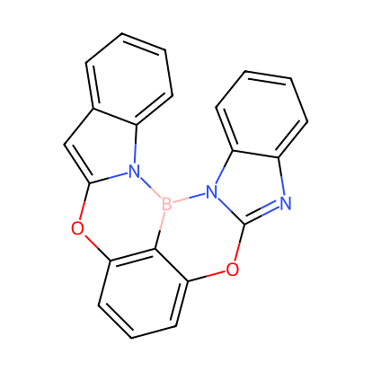 c1cc2c3c(c1)Oc1nc4ccccc4n1B3n1c(cc3ccccc31)O2